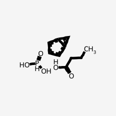 CCCC(=O)O.O=[PH](O)O.c1cc2cc-2c1